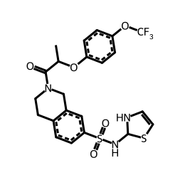 CC(Oc1ccc(OC(F)(F)F)cc1)C(=O)N1CCc2ccc(S(=O)(=O)NC3NC=CS3)cc2C1